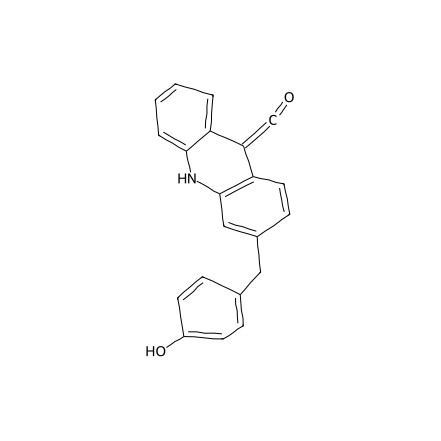 O=C=C1c2ccccc2Nc2cc(Cc3ccc(O)cc3)ccc21